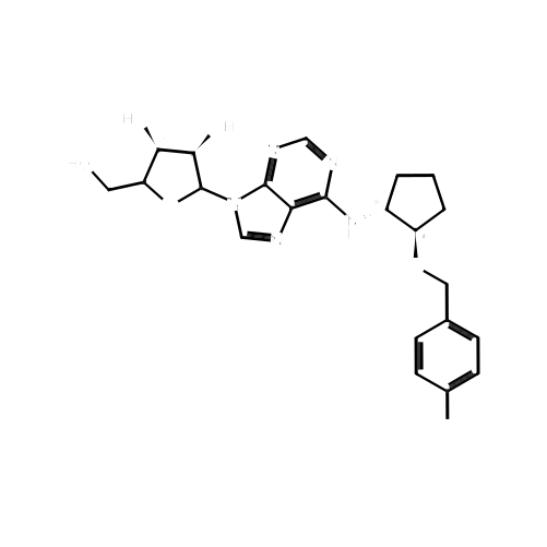 OCC1OC(n2cnc3c(N[C@@H]4CCC[C@H]4OCc4ccc(O)cc4)ncnc32)[C@H](O)[C@@H]1O